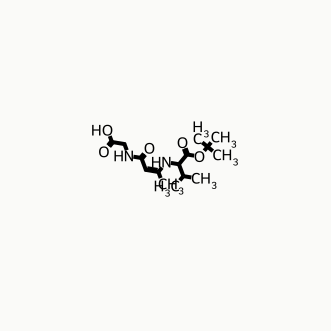 CC(=CC(=O)NCC(=O)O)NC(C(=O)OC(C)(C)C)C(C)C